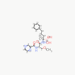 COC[C@@H](NC(=O)c1cnccn1)C(=O)N[C@@](C)(CCCc1ccccc1)B(O)O